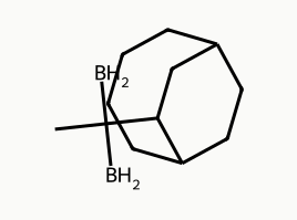 BC(B)(C)C1CC2CCCCC1CC2